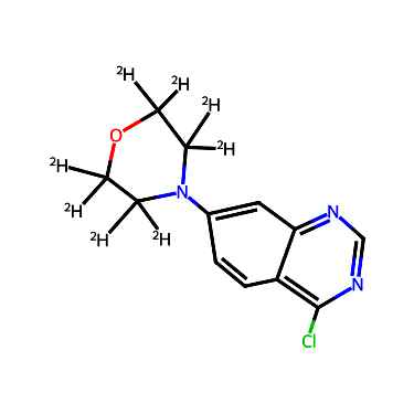 [2H]C1([2H])OC([2H])([2H])C([2H])([2H])N(c2ccc3c(Cl)ncnc3c2)C1([2H])[2H]